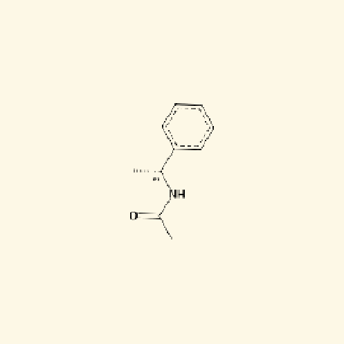 CC(=O)N[C@H](C)c1ccccc1